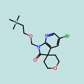 C[Si](C)(C)CCOCN1C(=O)C2(CCOCC2)c2cc(Br)cnc21